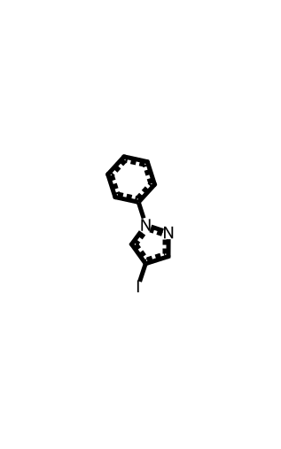 Ic1cnn(-c2ccccc2)c1